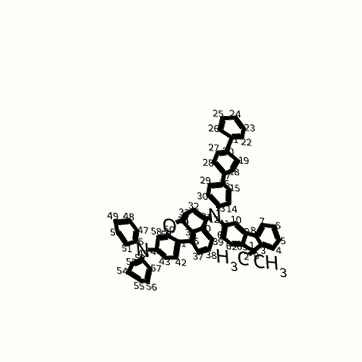 CC1(C)c2ccccc2-c2cc(N(c3ccc(-c4ccc(-c5ccccc5)cc4)cc3)c3ccc4c5c(cccc35)-c3ccc(N(c5ccccc5)c5ccccc5)cc3O4)ccc21